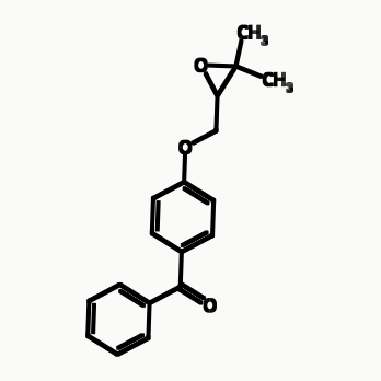 CC1(C)OC1COc1ccc(C(=O)c2ccccc2)cc1